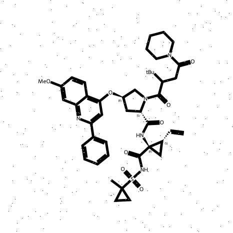 C=C[C@@H]1C[C@]1(NC(=O)[C@@H]1C[C@@H](Oc2cc(-c3ccccc3)nc3cc(OC)ccc23)CN1C(=O)C(CC(=O)N1CCCCC1)C(C)(C)C)C(=O)NS(=O)(=O)C1(C)CC1